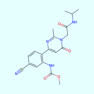 COC(=O)Nc1cc(C#N)ccc1-c1cc(=O)n(CC(=O)NC(C)C)c(C)n1